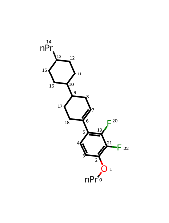 CCCOc1ccc(C2=CCC(C3CCC(CCC)CC3)CC2)c(F)c1F